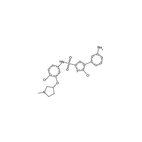 CN1CCC(Oc2cc(NS(=O)(=O)c3cc(-c4cccc(N)c4)c(Cl)s3)ccc2Cl)C1